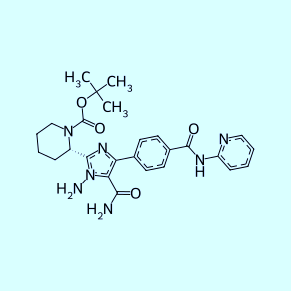 CC(C)(C)OC(=O)N1CCCC[C@H]1c1nc(-c2ccc(C(=O)Nc3ccccn3)cc2)c(C(N)=O)n1N